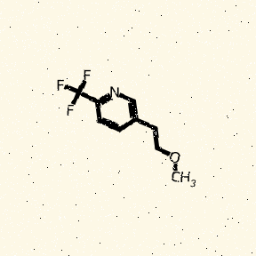 COCCc1ccc(C(F)(F)F)nc1